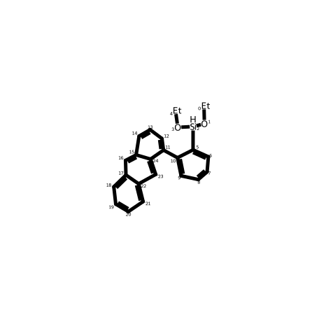 CCO[SiH](OCC)c1ccccc1-c1cccc2cc3ccccc3cc12